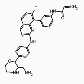 C=CC(=O)Nc1cccc(-c2c(F)ccc3cnc(Nc4ccc(C5OCCNC5CN)cc4)nc23)c1